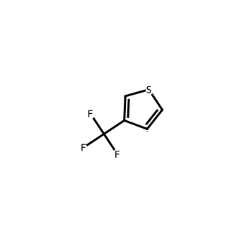 FC(F)(F)c1[c]csc1